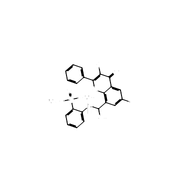 COP(=O)(OC)c1ccccc1NC(C)c1cc(C)cc2c(=O)c(C)c(-c3ccccc3)oc12